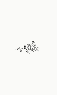 COC(=O)CCNC(=O)[C@@H]1OP(=O)(OC(C)OC(=O)C(C)(C)C)OCC1(C)C